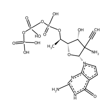 C#CC1(N)[C@@H](O)[C@@H]([C@@H](C)OP(=O)(O)OP(=O)(O)OP(=O)(O)O)O[C@H]1n1ccc2c(=O)[nH]c(N)nc21